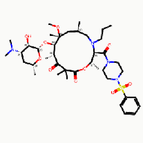 CCCN1C[C@H](C)C[C@@](C)(OC)[C@H](O[C@@H]2O[C@H](C)C[C@H](N(C)C)[C@H]2O)[C@@H](C)C(=O)C(C)(C)C(=O)O[C@@H](C)[C@@H]1C(=O)N1CCN(S(=O)(=O)c2ccccc2)CC1